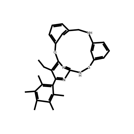 CCc1c2nc(nc1-c1c(C)c(C)c(C)c(C)c1C)NSc1cccc(c1)NCc1cccc(c1)O2